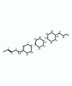 CC=CCO[C@H]1CC[C@H](C2CCC([C@H]3CC[C@H](CCC)CC3)CC2)CC1